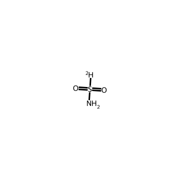 [2H]S(N)(=O)=O